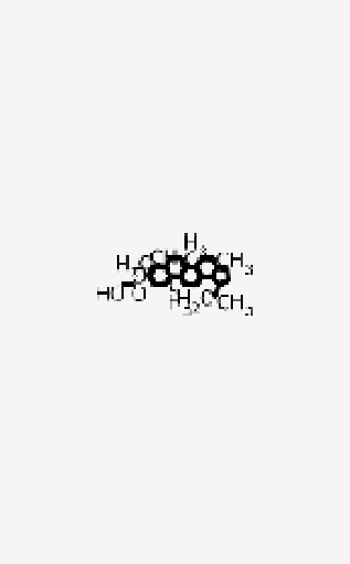 C=C(C)C1CCC2(C)CCC3C(CCC4C3(C)CCC3C(C)(C)C(OC(=O)CO)CCC34C)C12